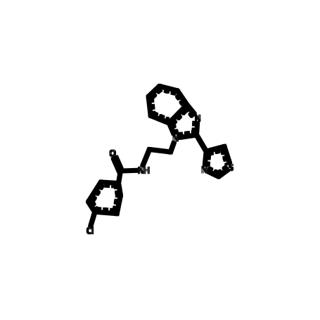 O=C(NCCn1c(-c2cscn2)nc2ccccc21)c1ccc(Cl)cc1